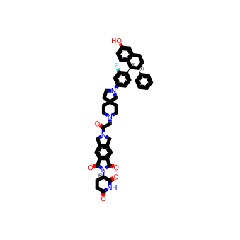 O=C1CC[C@@H](N2C(=O)c3cc4c(cc3C2=O)CN(C(=O)CN2CCC3(CC2)CCN(c2ccc([C@@H]5c6ccc(O)cc6CC[C@@H]5c5ccccc5)c(F)c2)C3)C4)C(=O)N1